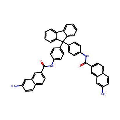 Nc1ccc2ccc(C(=O)Nc3ccc(C4(c5ccc(NC(=O)c6ccc7ccc(N)cc7c6)cc5)c5ccccc5-c5ccccc54)cc3)cc2c1